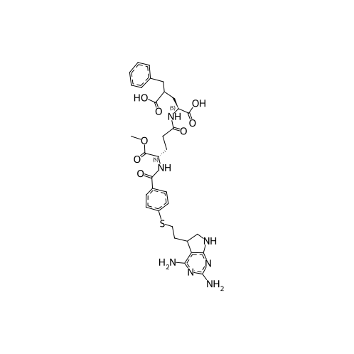 COC(=O)[C@H](CCC(=O)N[C@@H](CC(Cc1ccccc1)C(=O)O)C(=O)O)NC(=O)c1ccc(SCCC2CNc3nc(N)nc(N)c32)cc1